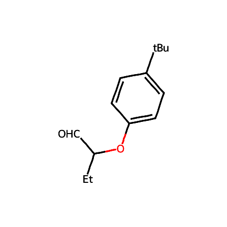 CCC(C=O)Oc1ccc(C(C)(C)C)cc1